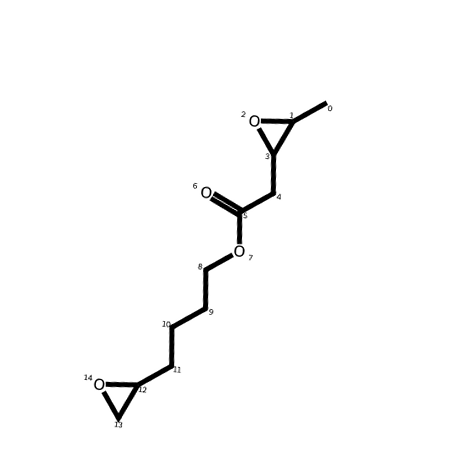 CC1OC1CC(=O)OCCCCC1CO1